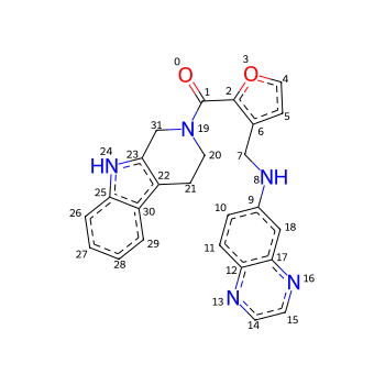 O=C(c1occc1CNc1ccc2nccnc2c1)N1CCc2c([nH]c3ccccc23)C1